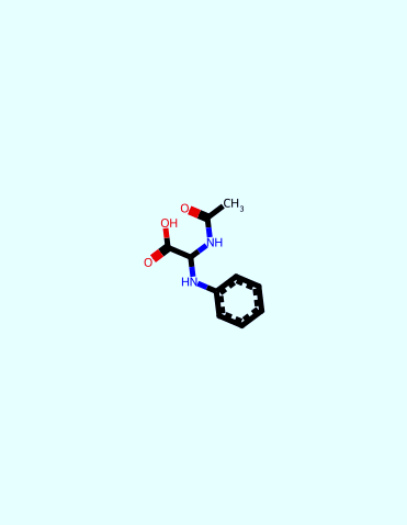 CC(=O)NC(Nc1ccccc1)C(=O)O